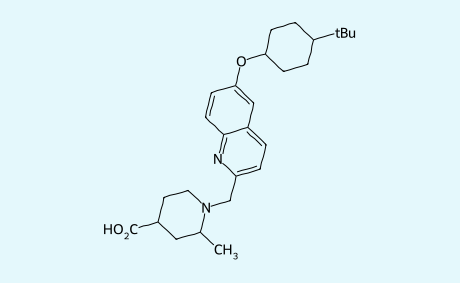 CC1CC(C(=O)O)CCN1Cc1ccc2cc(OC3CCC(C(C)(C)C)CC3)ccc2n1